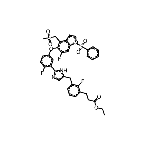 CCOC(=O)CCc1cccc(Cc2cnc(-c3cc(Oc4c(F)cc5c(ccn5S(=O)(=O)c5ccccc5)c4CS(C)(=O)=O)ccc3F)[nH]2)c1F